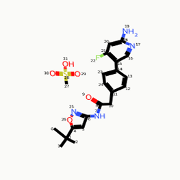 CC(C)(C)c1cc(NC(=O)Cc2ccc(-c3cnc(N)cc3F)cc2)no1.CS(=O)(=O)O